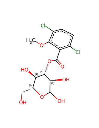 COc1c(Cl)ccc(Cl)c1C(=O)O[C@H]1[C@H](O)[C@@H](CO)OC(O)[C@@H]1O